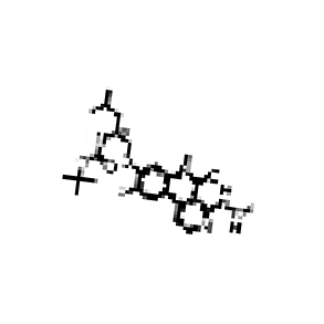 CC(C)C[C@@H](COc1cc2c(cc1F)c1ccnc(NBI)c1c(=O)n2C)NC(=O)OC(C)(C)C